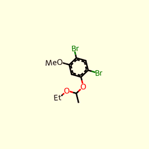 CCOC(C)Oc1cc(OC)c(Br)cc1Br